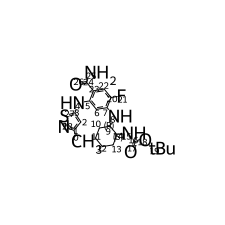 Cc1cc(Nc2cc(N[C@@H]3CCCC[C@@H]3NC(=O)OC(C)(C)C)c(F)cc2C(N)=O)sn1